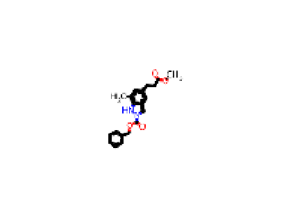 COC(=O)CCc1cc(C)c2c(c1)CN(C(=O)OCc1ccccc1)N2